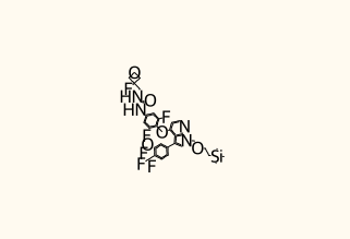 COc1cc(-c2cn(COCC[Si](C)(C)C)c3nccc(Oc4c(F)cc(NC(=O)NCC5(F)COC5)cc4F)c23)ccc1C(F)(F)F